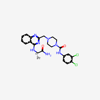 CC(C)[C@H](Nc1nc(CN2CCN(C(=O)Nc3ccc(Cl)c(Cl)c3)CC2)nc2ccccc12)C(N)=O